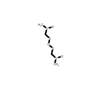 C[S+]([O-])CSOSC[S+](C)[O-]